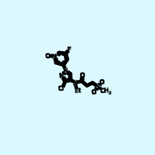 CCN(C(=O)CCS(C)(=O)=O)c1cn(-c2cc(F)c[n+]([O-])c2)nc1Cl